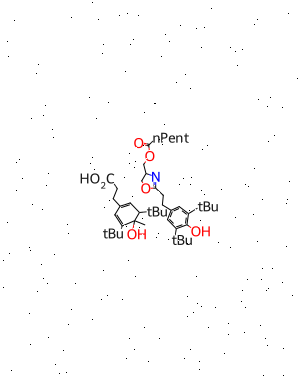 CC(C)(C)C1=CC(CCC(=O)O)=CC(C(C)(C)C)C1(C)O.CCCCCC(=O)OCC1COC(CCc2cc(C(C)(C)C)c(O)c(C(C)(C)C)c2)=N1